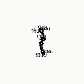 Cc1cc(-c2ccc(/N=N/C=C3C=C(C(C)(C)C)C(=O)C(C(C)(C)C)=C3)cc2)c(C)c(Cl)c1/N=N/C=C1C=C(C(C)(C)C)C(=O)C(C(C)(C)C)=C1